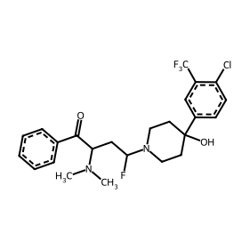 CN(C)C(CC(F)N1CCC(O)(c2ccc(Cl)c(C(F)(F)F)c2)CC1)C(=O)c1ccccc1